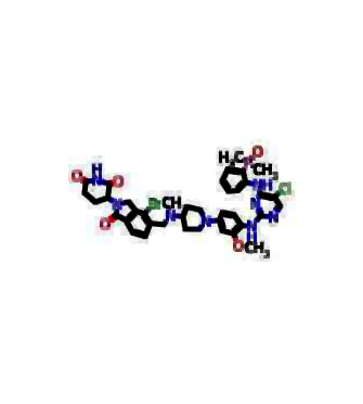 COc1cc(N2CCC(N(C)Cc3ccc4c(c3Br)CN(C3CCC(=O)NC3=O)C4=O)CC2)ccc1Nc1ncc(Cl)c(Nc2ccccc2P(C)(C)=O)n1